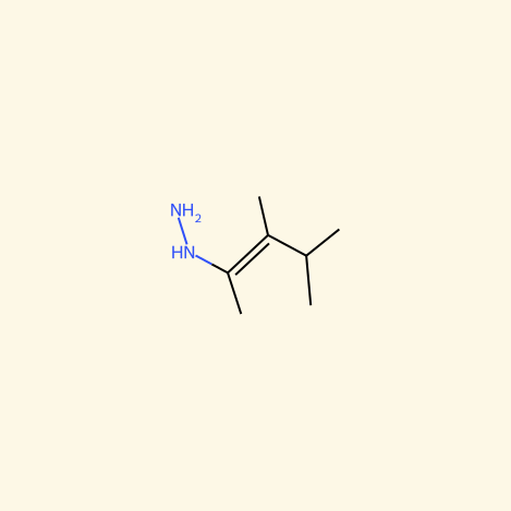 CC(NN)=C(C)C(C)C